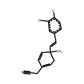 CC1(/C=C/c2ccc(F)c(Cl)c2)C=CC(CC#N)=CC1